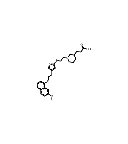 COc1cnc2cccc(OCCc3csc(SCCN4CCCC(CCC(=O)O)C4)c3)c2c1